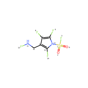 O=S(=O)(F)n1c(F)c(F)c(CNF)c1F